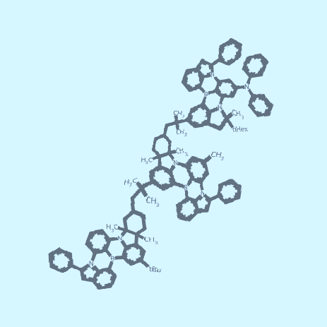 CCCCCCC1(C)Cc2cc(C(C)(C)CC3CCC4(C)c5cc(C(C)(C)CC6CCC7(C)c8cc(C(C)(C)C)cc9c8N(c8cccc%10c8B9c8cccc9cc(-c%11ccccc%11)n-%10c89)C7(C)C6)cc6c5N(c5cc(C)cc7c5B6c5cccc6cc(-c8ccccc8)n-7c56)C4(C)C3)cc3c2N1c1cc(N(c2ccccc2)c2ccccc2)cc2c1B3c1cccc3cc(-c4ccccc4)n-2c13